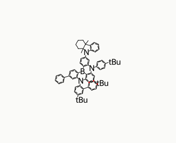 CC(C)(C)c1ccc(N2c3cc(N4c5ccccc5C5(C)CCCCC45C)ccc3B3c4ccc(-c5ccccc5)cc4N(c4ccc(C(C)(C)C)cc4-c4ccccc4)c4cc(C(C)(C)C)cc2c43)cc1